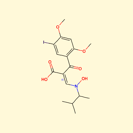 COc1cc(OC)c(C(=O)/C(=C\N(O)C(C)C(C)C)C(=O)O)cc1I